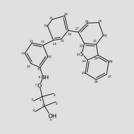 CC(C)(O)C(C)(C)OBc1cccc(C2=CC(C3=CCCc4c3sc3ccccc43)=CCC2)c1